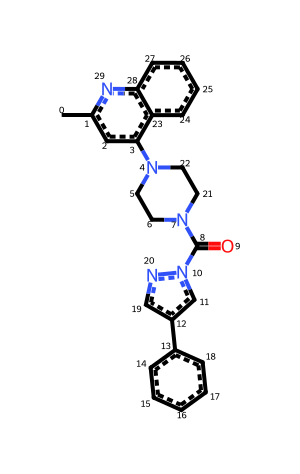 Cc1cc(N2CCN(C(=O)n3cc(-c4ccccc4)cn3)CC2)c2ccccc2n1